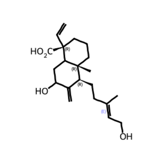 C=C[C@]1(C(=O)O)CCC[C@@]2(C)C1CC(O)C(=C)[C@@H]2CC/C(C)=C/CO